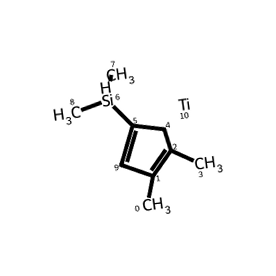 CC1=C(C)CC([SiH](C)C)=C1.[Ti]